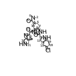 CN(C)C(=O)[C@H]1CC[C@H](NC(=O)c2cc3cc(Cl)ccc3[nH]2)[C@H](NC(=O)c2nc3c(s2)CNC3)C1